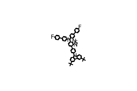 CC(C)(C)c1ccc2c(c1)c1cc(C(C)(C)C)ccc1n2-c1ccc(-c2ccc(N(c3ccc(-c4ccc(F)cc4)cc3)c3ccc(-c4ccc(F)cc4)cc3)c3nsnc23)cc1